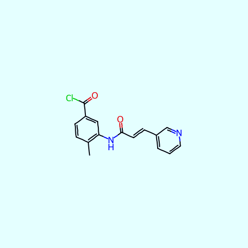 Cc1ccc(C(=O)Cl)cc1NC(=O)/C=C/c1cccnc1